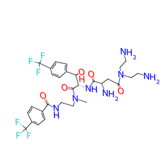 CN(CCNC(=O)c1ccc(C(F)(F)F)cc1)C(=O)[C@@H](NC(=O)C(N)CC(=O)N(CCN)CCN)[C@H](O)c1ccc(C(F)(F)F)cc1